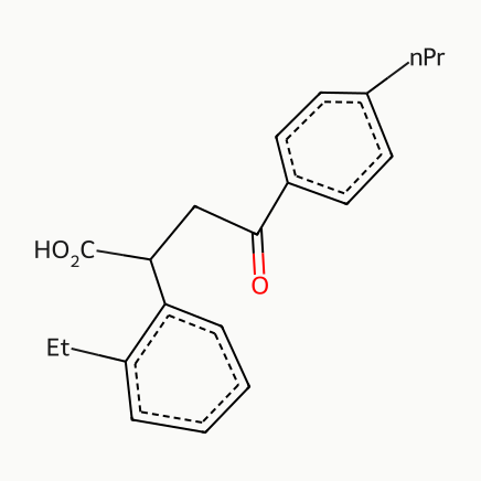 CCCc1ccc(C(=O)CC(C(=O)O)c2ccccc2CC)cc1